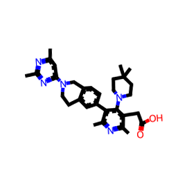 Cc1cc(N2CCc3cc(-c4c(C)nc(C)c(CC(=O)O)c4N4CCC(C)(C)CC4)ccc3C2)nc(C)n1